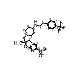 CC1(CN2CCC(NCCc3ccc(C(F)(F)F)cc3)CC2)Cn2cc([N+](=O)[O-])nc2O1